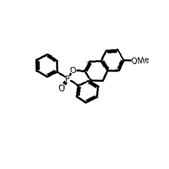 COc1ccc2c(c1)CCC(OP(=O)(c1ccccc1)c1ccccc1)=[C]2